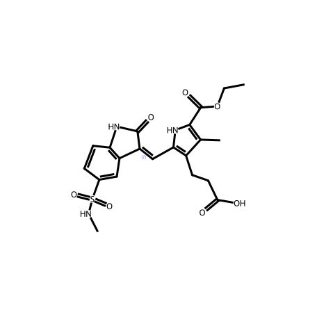 CCOC(=O)c1[nH]c(/C=C2\C(=O)Nc3ccc(S(=O)(=O)NC)cc32)c(CCC(=O)O)c1C